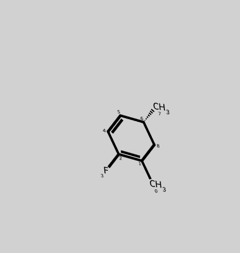 CC1=C(F)C=C[C@H](C)C1